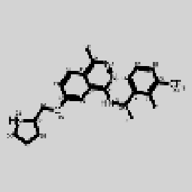 Cc1c([C@@H](C)Nc2nnc(C)c3ccc(OCC4CCCN4)cc23)cccc1C(F)(F)F